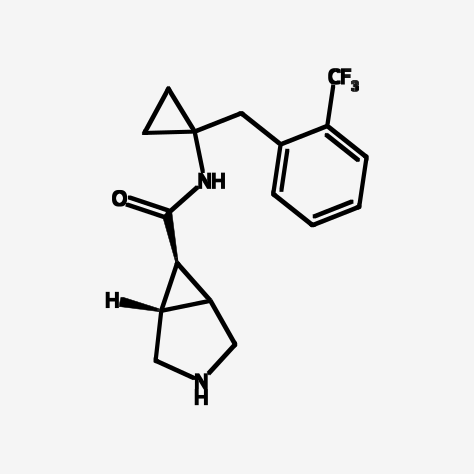 O=C(NC1(Cc2ccccc2C(F)(F)F)CC1)[C@H]1C2CNC[C@@H]21